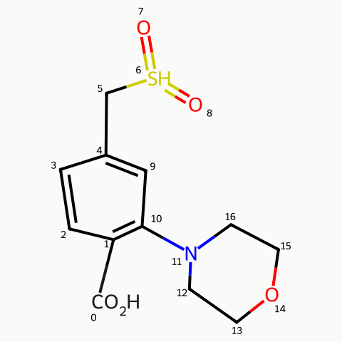 O=C(O)c1ccc(C[SH](=O)=O)cc1N1CCOCC1